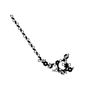 COCCOCCOCCOCCOCCOCCOCCOCCOCCOCCOCCC(=O)NCc1ccc(-c2nccc(COC3=CC=C4CC3C[C@H](C(=O)O)Oc3ncnc5sc(-c6ccc(F)cc6)c(c35)-c3c(C)c(Cl)c(c(Cl)c3C)O[C@H](CN3CCN(C)CC3)CO4)n2)cc1